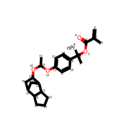 C=C(C)C(=O)OC(C)(CCC)c1ccc(OC(C)OC2CC3CC2C2CCCC32)cc1